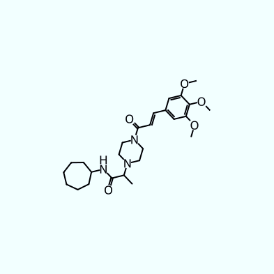 COc1cc(C=CC(=O)N2CCN(C(C)C(=O)NC3CCCCCC3)CC2)cc(OC)c1OC